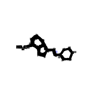 O=C(O)c1cccc2c1ccn2/C=C/N1CCOCC1